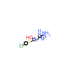 Nc1ncnc2c(CN3CC(CSc4ccc(Cl)cc4)[C@H](O)C3)c[nH]c12